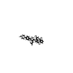 CC(=O)NC1(C(=O)N2CC(=O)C3C2CCN3C(=O)C(CC(C)C)NC(=O)c2ccc(N3CCN(C)CC3)cc2)CCCC1